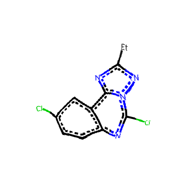 CCc1nc2c3cc(Cl)ccc3nc(Cl)n2n1